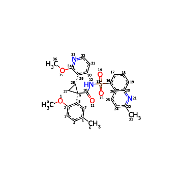 COc1ccc(C)cc1[C@]1(C(=O)NS(=O)(=O)c2cccc3nc(C)ccc23)C[C@@H]1c1cccnc1OC